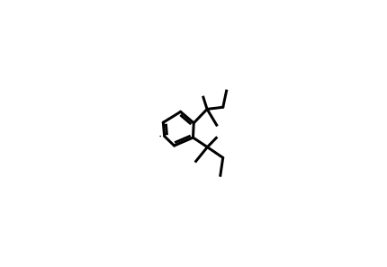 CCC(C)(C)c1c[c]ccc1C(C)(C)CC